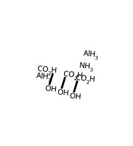 N.O=C(O)O.O=C(O)O.O=C(O)O.[AlH3].[AlH3]